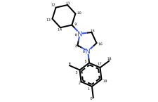 Cc1cc(C)c(N2[C]N(C3CCCCC3)CC2)c(C)c1